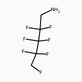 NCC(F)(F)C(F)(F)C(F)(F)CF